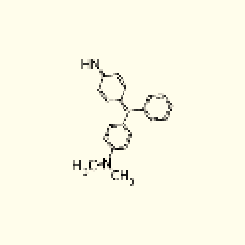 CN(C)c1ccc(C(=C2C=CC(=N)C=C2)c2ccccc2)cc1